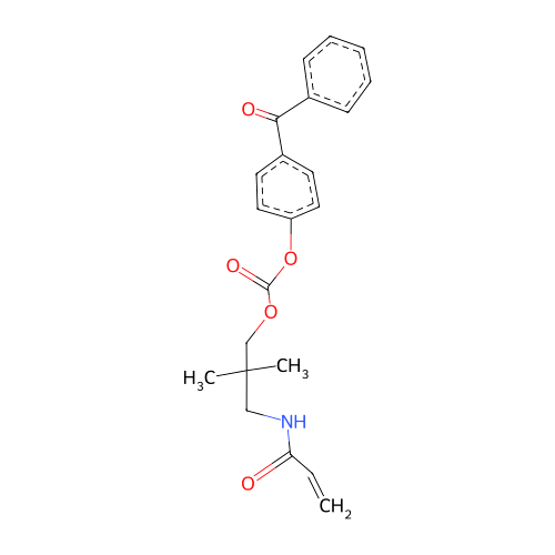 C=CC(=O)NCC(C)(C)COC(=O)Oc1ccc(C(=O)c2ccccc2)cc1